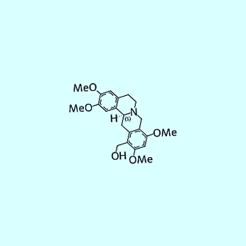 COc1cc2c(cc1OC)[C@@H]1Cc3c(CO)c(OC)cc(OC)c3CN1CC2